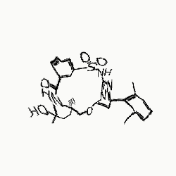 Cc1cccc(C)c1-c1cc2nc(n1)NS(=O)(=O)c1cccc(c1)C(=O)N[C@H](CC(C)(C)O)CO2